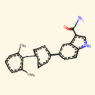 COc1cccc(OC)c1-c1ccc(-c2ccc3[nH]cc(C(N)=O)c3c2)cc1